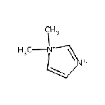 C[N+]1(C)C=C[N+]=C1